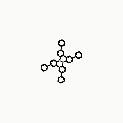 c1ccc(-c2ccc3c(c2)-c2cc(-c4ccccc4)ccc2N2B3c3ccc(-c4ccccc4)cc3-c3cc(-c4ccccc4)ccc32)cc1